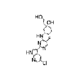 OCC[C@@]1(O)CCC[C@H](Nc2nc(-c3c[nH]c4ncc(Cl)cc34)ncc2F)C1